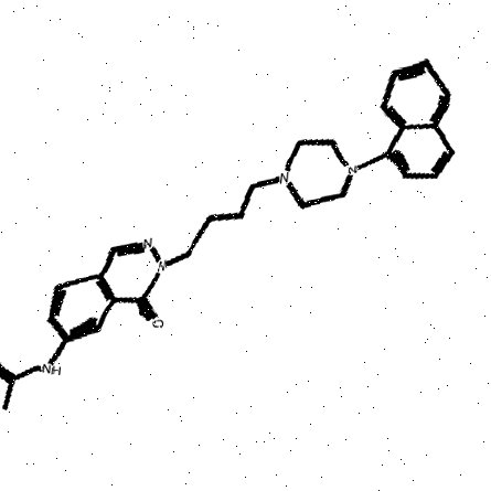 CC(=O)Nc1ccc2cnn(CCCCN3CCN(c4cccc5ccccc45)CC3)c(=O)c2c1